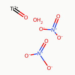 O.O=[N+]([O-])[O-].O=[N+]([O-])[O-].[O]=[Ti+2]